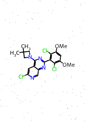 COc1cc(OC)c(Cl)c(-c2nc(N3CC(C)(C)C3)c3cc(Cl)ncc3n2)c1Cl